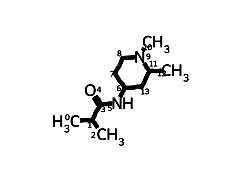 CC(C)C(=O)NC1CCN(C)C(C)C1